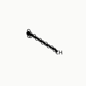 C#CCOCCOCCOCCOCCOCCOCCOCCOCCC(=O)ON1C(=O)CCC1=O